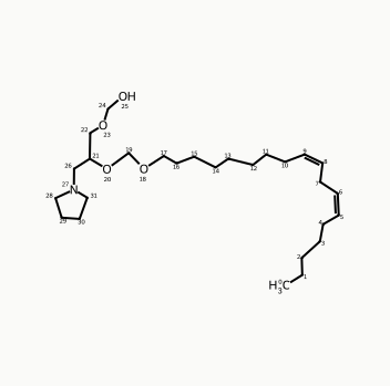 CCCCC/C=C\C/C=C\CCCCCCCCOCOC(COCO)CN1CCCC1